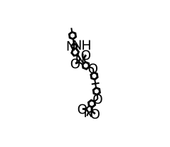 Cc1ccc(-c2nc3ccc(N4C(=O)c5ccc(Oc6ccc(C(C)(C)c7ccc(Oc8ccc9c(c8)C(=O)N(C)C9=O)cc7)cc6)cc5C4=O)cc3[nH]2)cc1